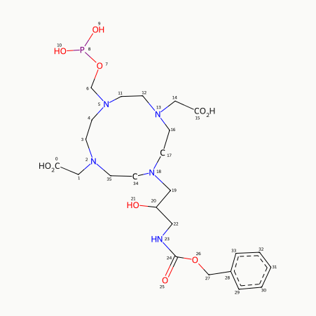 O=C(O)CN1CCN(COP(O)O)CCN(CC(=O)O)CCN(CC(O)CNC(=O)OCc2ccccc2)CC1